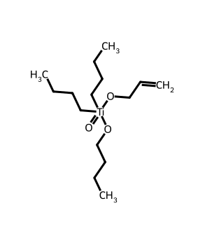 C=CC[O][Ti](=[O])([CH2]CCC)([CH2]CCC)[O]CCCC